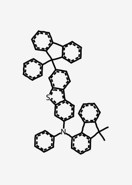 CC1(C)c2ccccc2-c2c(N(c3ccccc3)c3ccc4c(c3)sc3cc(C5(c6ccccc6)c6ccccc6-c6ccccc65)ccc34)cccc21